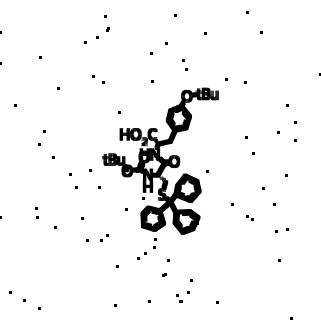 CC(C)(C)OC(=O)N[C@@H](CSC(c1ccccc1)(c1ccccc1)c1ccccc1)C(=O)N[C@@H](Cc1ccc(OC(C)(C)C)cc1)C(=O)O